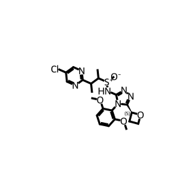 COc1cccc(OC)c1-n1c(N[S+]([O-])C(C)C(C)c2ncc(Cl)cn2)nnc1[C@@H]1CCO1